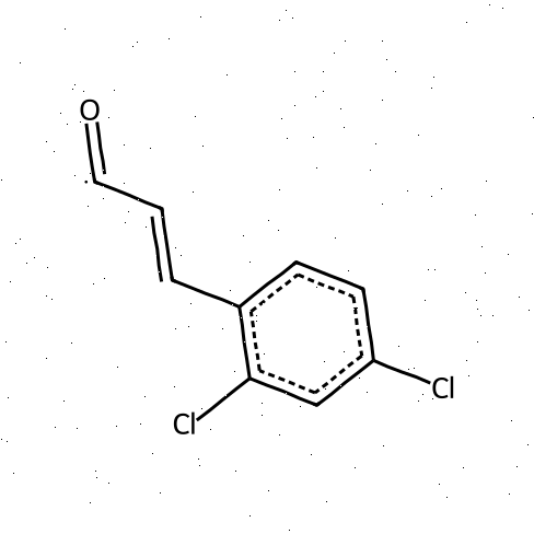 O=[C]/C=C/c1ccc(Cl)cc1Cl